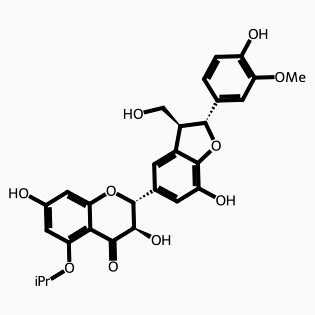 COc1cc([C@@H]2Oc3c(O)cc([C@H]4Oc5cc(O)cc(OC(C)C)c5C(=O)[C@@H]4O)cc3[C@H]2CO)ccc1O